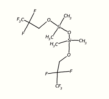 C[Si](C)(OCC(F)(F)C(F)(F)F)O[Si](C)(C)OCC(F)(F)C(F)(F)F